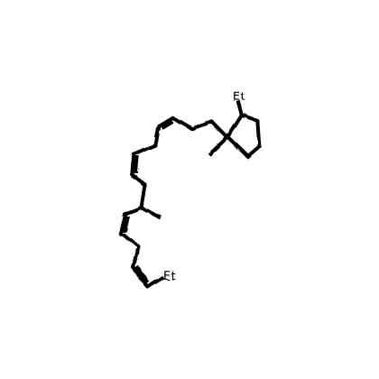 CC/C=C\C/C=C\C(C)C/C=C\C/C=C\CCC1(C)CCCC1CC